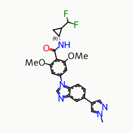 COc1cc(-n2cnc3cc(-c4cnn(C)c4)ccc32)cc(OC)c1C(=O)N[C@@H]1CC1C(F)F